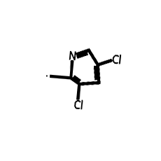 [CH2]c1ncc(Cl)cc1Cl